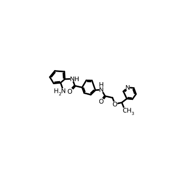 CC(OCC(=O)Nc1ccc(C(=O)Nc2ccccc2N)cc1)c1cccnc1